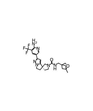 CC12CC(CNC(=O)N3CC[C@@]4(CCn5nc(-c6cnc(N)c(C(F)(F)F)c6)cc54)C3)(CO1)C2